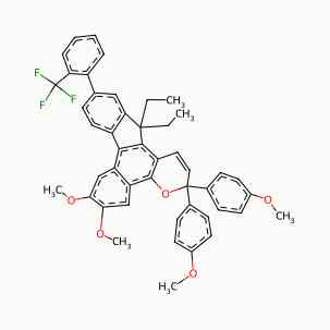 CCC1(CC)c2cc(-c3ccccc3C(F)(F)F)ccc2-c2c1c1c(c3cc(OC)c(OC)cc23)OC(c2ccc(OC)cc2)(c2ccc(OC)cc2)C=C1